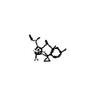 C=CN(C)c1nc(CCC)n(Cc2ccc(F)cc2)c1C(=C)N(C)CC1(ON)CC1